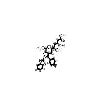 CC(C)c1nn(-c2nc3ccccc3s2)c(-c2ccc(F)cc2)c1C=C[C@@H](O)C[C@@H](O)CC(=O)O